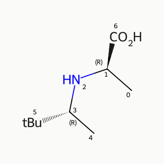 C[C@@H](N[C@H](C)C(C)(C)C)C(=O)O